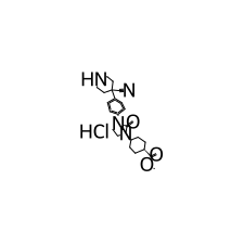 COC(=O)[C@H]1CC[C@H](N2CCN(c3ccc(C4(C#N)CCNCC4)cc3)C2=O)CC1.Cl